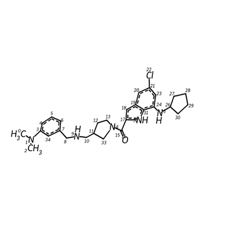 CN(C)c1cccc(CNCC2CCN(C(=O)c3cc4cc(Cl)cc(NC5CCCC5)c4[nH]3)C2)c1